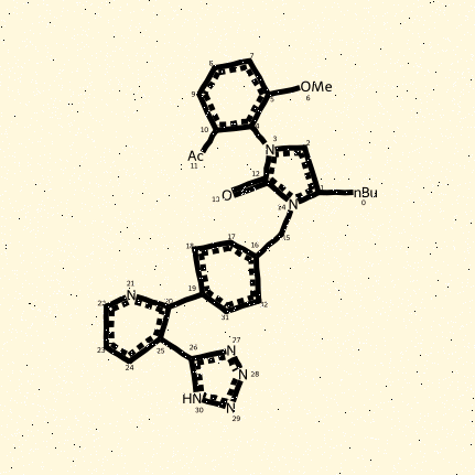 CCCCc1cn(-c2c(OC)cccc2C(C)=O)c(=O)n1Cc1ccc(-c2ncccc2-c2nnn[nH]2)cc1